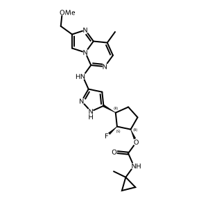 COCc1cn2c(Nc3cc([C@H]4CC[C@@H](OC(=O)NC5(C)CC5)[C@H]4F)[nH]n3)ncc(C)c2n1